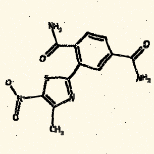 Cc1nc(-c2cc(C(N)=O)ccc2C(N)=O)sc1[N+](=O)[O-]